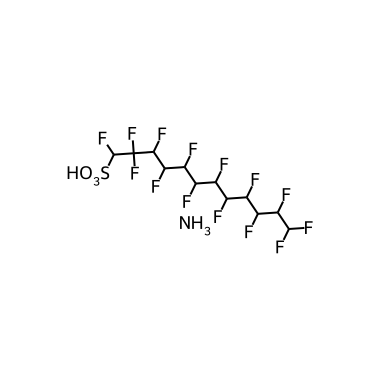 N.O=S(=O)(O)C(F)C(F)(F)C(F)C(F)C(F)C(F)C(F)C(F)C(F)C(F)C(F)C(F)F